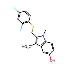 Cn1c(CSc2ccc(F)cc2F)c(C(=O)O)c2cc(O)ccc21